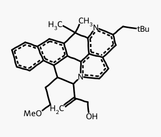 C=C(CO)C1C(CCOC)c2c3c(cc4ccccc24)C(C)(C)c2nc(CC(C)(C)C)cc4cc[n+]1c-3c24